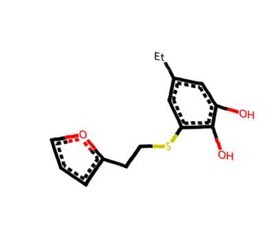 CCc1cc(O)c(O)c(SCCc2ccco2)c1